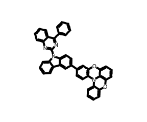 c1ccc(-c2nc(-n3c4ccccc4c4cc(-c5ccc6c(c5)Oc5cccc7c5N6c5ccccc5O7)ccc43)nc3ccccc23)cc1